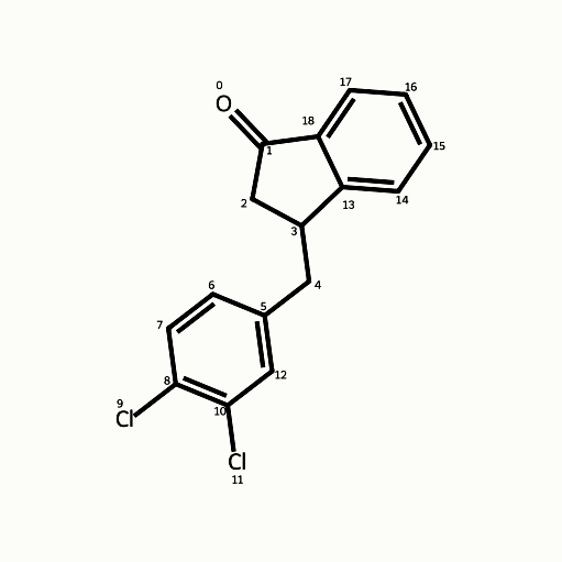 O=C1CC(Cc2ccc(Cl)c(Cl)c2)c2ccccc21